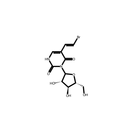 O=c1[nH]cc(C=CBr)c(=O)n1C1O[C@H](CO)[C@@H](O)[C@@H]1O